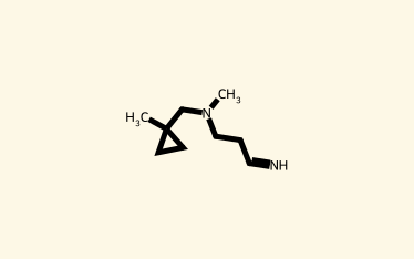 CN(CCC=N)CC1(C)CC1